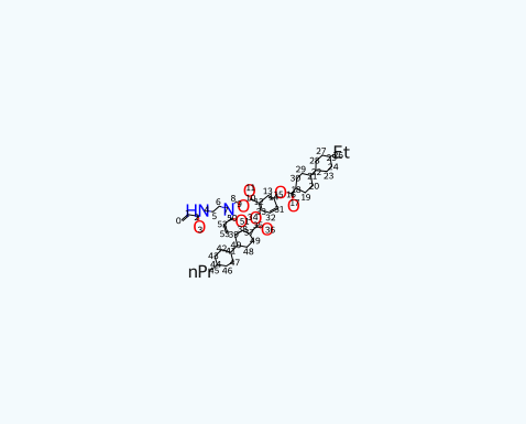 C=CC(=O)NCCN(COC(=O)c1cc(OC(=O)C2CCC(C3CCC(CC)CC3)CC2)ccc1OC(=O)C1CCC(C2CCC(CCC)CC2)CC1)C(=O)C=C